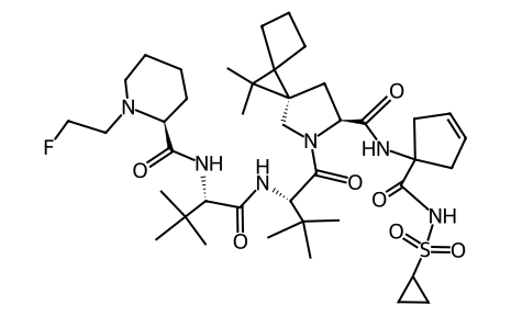 CC(C)(C)[C@H](NC(=O)[C@@H]1CCCCN1CCF)C(=O)N[C@H](C(=O)N1C[C@]2(C[C@H]1C(=O)NC1(C(=O)NS(=O)(=O)C3CC3)CC=CC1)C(C)(C)C21CCC1)C(C)(C)C